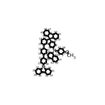 COc1ccc(N(c2ccc(C3(c4cccc(-c5ccc(-c6ccc(-n7c8ccccc8c8ccccc87)cc6)cc5)c4)c4ccccc4-c4ccccc43)cc2)c2cccc3ccccc23)cc1